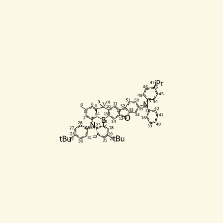 Cc1cc2c3c(c1)C(C)(C)c1cc4c(cc1B3c1cc(C(C)(C)C)ccc1N2c1ccc(C(C)(C)C)cc1)oc1cc(N(c2ccccc2)c2ccc(C(C)C)cc2)ccc14